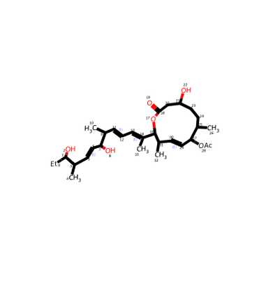 CCC(O)C(C)/C=C/C(O)C(C)/C=C/C=C(\C)C1OC(=O)CC(O)CCC(C)C(OC(C)=O)/C=C/C1C